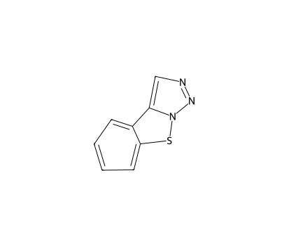 c1ccc2c(c1)sn1nncc21